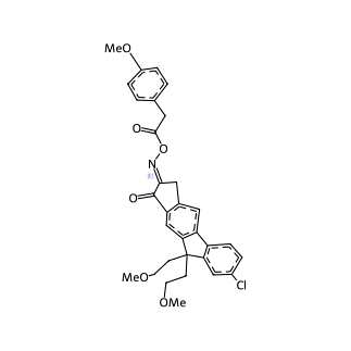 COCCC1(CCOC)c2cc(Cl)ccc2-c2cc3c(cc21)C(=O)/C(=N/OC(=O)Cc1ccc(OC)cc1)C3